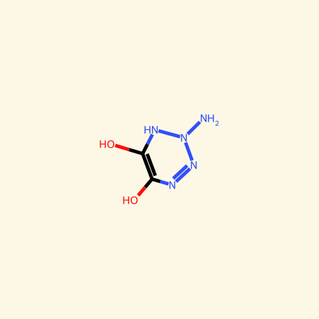 NN1N=NC(O)=C(O)N1